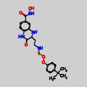 CC(C)(C)c1ccc(OOSNCCC2Nc3cc(C(=O)NO)ccc3NC2=O)cc1